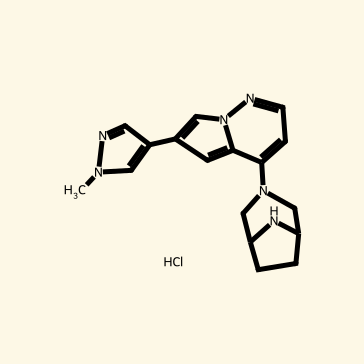 Cl.Cn1cc(-c2cc3c(N4CC5CCC(C4)N5)ccnn3c2)cn1